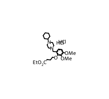 CCOC(=O)CCCOc1c(CN2CCN(C3CCCCC3)CC2)ccc(OC)c1OC.Cl.Cl